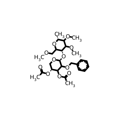 COCC1O[C@H](C)C(OC)C(OC)[C@@H]1O[C@@H]1OC[C@@H](OC(C)=O)C(OC(C)=O)C1OCc1ccccc1